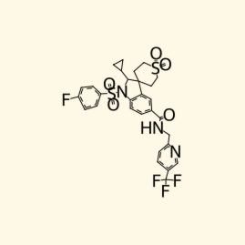 O=C(NCc1ccc(C(F)(F)F)cn1)c1ccc2c(c1)C1(CCS(=O)(=O)CC1)C(C1CC1)N2S(=O)(=O)c1ccc(F)cc1